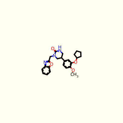 COc1ccc(C2CNC(=O)N(Cc3nc4ccccc4o3)C2)cc1OC1CCCC1